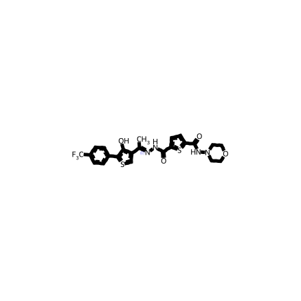 C/C(=N\NC(=O)c1ccc(C(=O)NN2CCOCC2)s1)c1csc(-c2ccc(C(F)(F)F)cc2)c1O